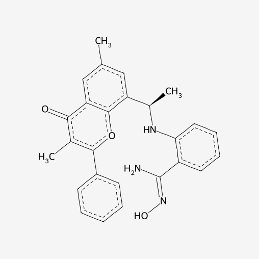 Cc1cc([C@@H](C)Nc2ccccc2C(N)=NO)c2oc(-c3ccccc3)c(C)c(=O)c2c1